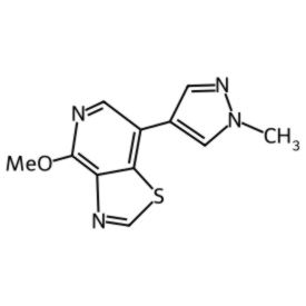 COc1ncc(-c2cnn(C)c2)c2scnc12